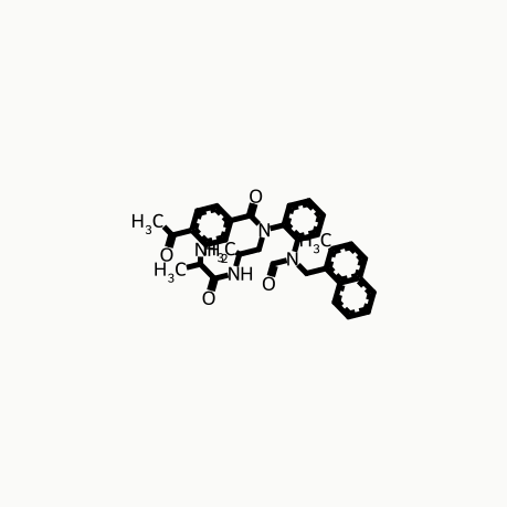 CC(=O)c1ccc(C(=O)N(CC(C)NC(=O)C(C)N)c2ccccc2N(C=O)Cc2c(C)ccc3ccccc23)cc1